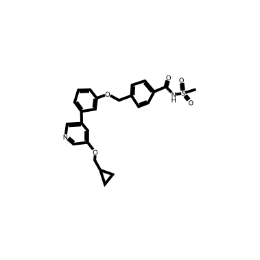 CS(=O)(=O)NC(=O)c1ccc(COc2cccc(-c3cncc(OCC4CC4)c3)c2)cc1